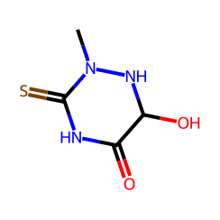 CN1NC(O)C(=O)NC1=S